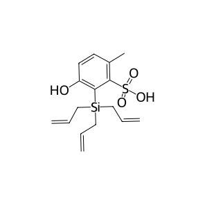 C=CC[Si](CC=C)(CC=C)c1c(O)ccc(C)c1S(=O)(=O)O